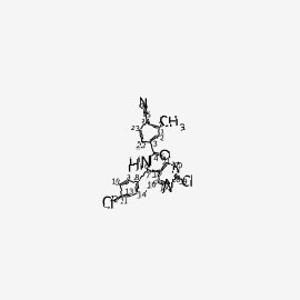 Cc1cc(C(=O)N[C@@H](c2ccc(Cl)cc2)c2cnc(Cl)nc2)ccc1C#N